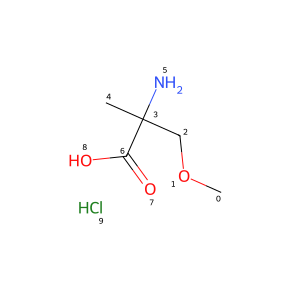 COCC(C)(N)C(=O)O.Cl